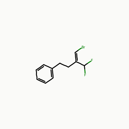 FC(F)C(=CBr)CCc1ccccc1